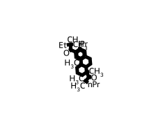 CCCC(C)(C)C(=O)C1(C)CCCC2(C)c3cc(C(=O)C(C)(C)CC)c(C(C)C)cc3CCC12